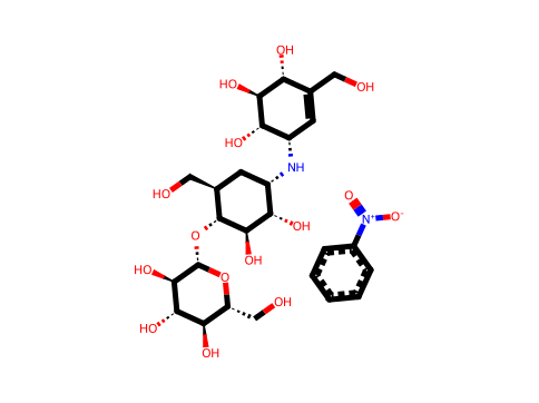 O=[N+]([O-])c1cc[c]cc1.OCC1=C[C@H](N[C@H]2C[C@H](CO)[C@@H](O[C@@H]3O[C@H](CO)[C@@H](O)[C@H](O)[C@H]3O)[C@H](O)[C@H]2O)[C@H](O)[C@@H](O)[C@@H]1O